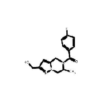 CC1Cn2nc(CO)cc2CN1C(=O)c1ccc(F)cc1